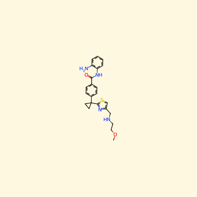 COCCNCc1csc(C2(c3ccc(C(=O)Nc4ccccc4N)cc3)CC2)n1